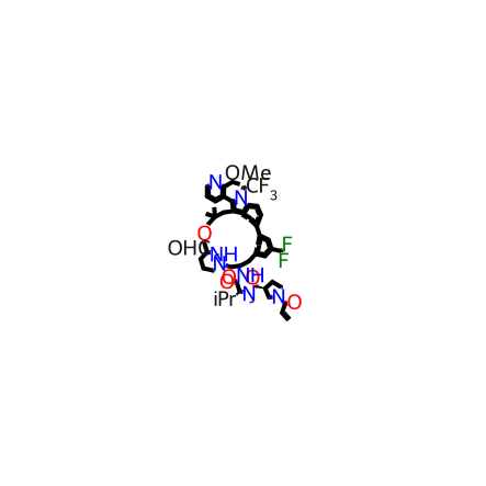 C=CC(=O)N1CC[C@H](C(=O)N(C)[C@H](C(=O)N[C@H]2Cc3cc(cc(C(F)F)c3)-c3ccc4c(c3)c(c(-c3cccnc3[C@H](C)OC)n4CC(F)(F)F)CC(C)(C)COC[C@@]3(C=O)CCCN(N3)C2=O)C(C)C)C1